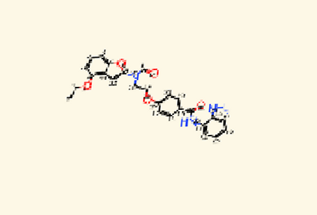 CCOc1cccc2oc(N(C=O)CCOc3ccc(C(=O)Nc4ccccc4N)cc3)cc12